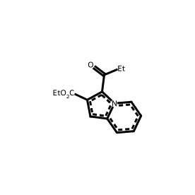 CCOC(=O)c1cc2ccccn2c1C(=O)CC